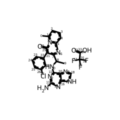 Cc1cccc2nc(C(C)Nc3nc(N)nc4[nH]cnc34)c(-c3cccc(Cl)c3)c(=O)n12.O=C(O)C(F)(F)F